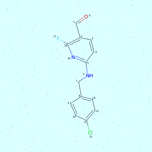 O=Cc1ccc(NCc2ccc(Cl)cc2)nc1F